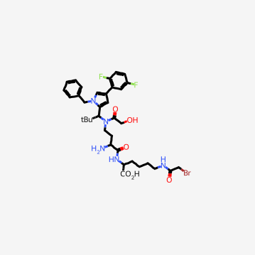 CC(C)(C)C(c1cc(-c2cc(F)ccc2F)cn1Cc1ccccc1)N(CCC(N)C(=O)NC(CCCCNC(=O)CBr)C(=O)O)C(=O)CO